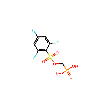 O=P(O)(O)COS(=O)(=O)c1c(F)cc(F)cc1F